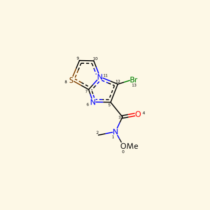 CON(C)C(=O)c1nc2sccn2c1Br